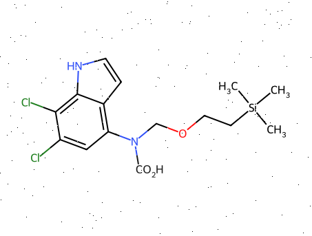 C[Si](C)(C)CCOCN(C(=O)O)c1cc(Cl)c(Cl)c2[nH]ccc12